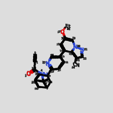 C#CC(=O)NC1(C)C2CC(c3ccc(-c4cc(OCC)cn5ncc(C#N)c45)cn3)CC1C2